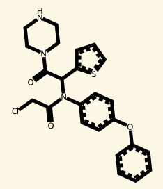 O=C(C(c1cccs1)N(C(=O)CCl)c1ccc(Oc2ccccc2)cc1)N1CCNCC1